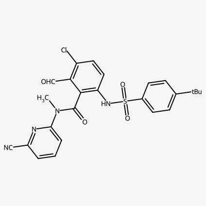 CN(C(=O)c1c(NS(=O)(=O)c2ccc(C(C)(C)C)cc2)ccc(Cl)c1C=O)c1cccc(C#N)n1